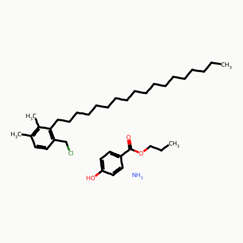 CCCCCCCCCCCCCCCCCCc1c(CCl)ccc(C)c1C.CCCOC(=O)c1ccc(O)cc1.N